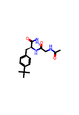 CC(=O)NCC(=O)N[C@@H](Cc1ccc(C(C)(C)C)cc1)C(N)=O